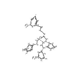 FC(F)(F)c1cccc(CCCC(CCc2c[nH]cn2)OC(CCCc2cccc(C(F)(F)F)c2)CCc2c[nH]cn2)c1